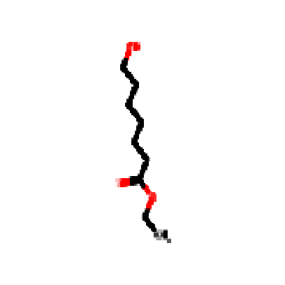 CCOC(=O)CCCCCCO